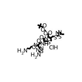 Cc1nnc(SCC2=C(C(=O)OCOC(=O)C(C)(C)C)N3C(=O)C(NC(=O)/C(=N/OCCCN)c4nsc(N)n4)[C@H]3SC2)s1.Cl